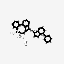 Cp1c2cc3c(cccc3c3ccccc3p1C)[CH]2[Zr+2][CH]1C=Cc2c(-c3ccccc3)cccc21.[Cl-].[Cl-]